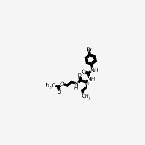 CCC[C@H](NC(=O)Nc1ccc(Br)cc1)C(=O)NCCOC(C)=O